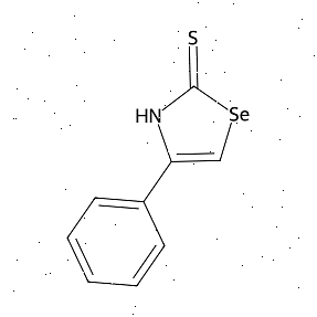 S=c1[nH]c(-c2ccccc2)c[se]1